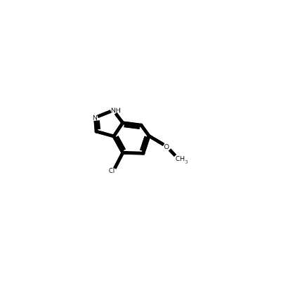 COc1cc(Cl)c2cn[nH]c2c1